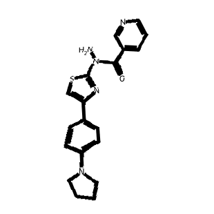 NN(C(=O)c1cccnc1)c1nc(-c2ccc(N3CCCC3)cc2)cs1